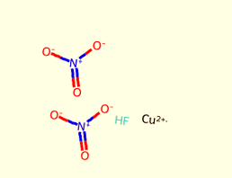 F.O=[N+]([O-])[O-].O=[N+]([O-])[O-].[Cu+2]